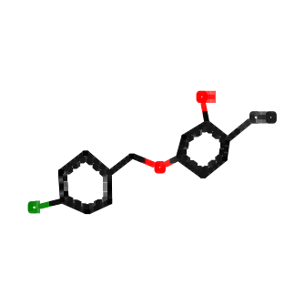 O=Cc1ccc(OCc2ccc(Cl)cc2)cc1O